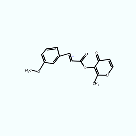 COc1cccc(/C=C/C(=O)Oc2c(C)occc2=O)c1